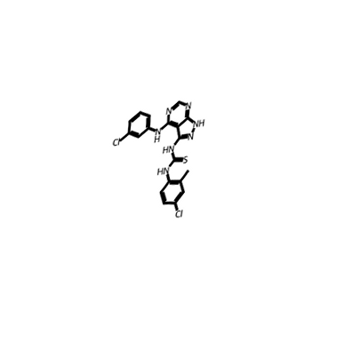 Cc1cc(Cl)ccc1NC(=S)Nc1n[nH]c2ncnc(Nc3cccc(Cl)c3)c12